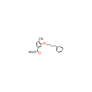 COC(=O)c1ccc(C#N)c(OCCCCc2ccccc2)c1